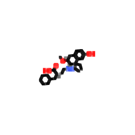 CCC1(CC)c2cc(O)ccc2C[C@H](OC)[C@H]1NCC[C@H](CC1CCCCC1)C(=O)O